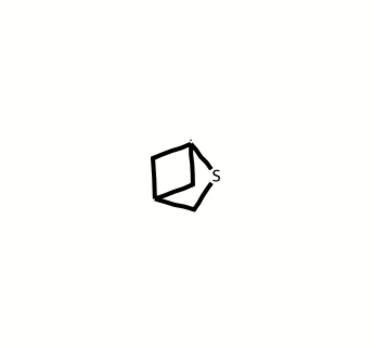 C1S[C]2CC1C2